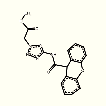 COC(=O)Cn1nnc(NC(=O)C2c3ccccc3Oc3ccccc32)n1